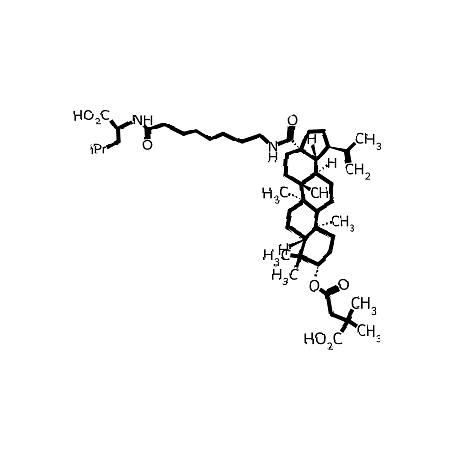 C=C(C)[C@@H]1CC[C@]2(C(=O)NCCCCCCCC(=O)NC(CC(C)C)C(=O)O)CC[C@]3(C)[C@H](CCC4[C@@]5(C)CC[C@H](OC(=O)CC(C)(C)C(=O)O)C(C)(C)[C@@H]5CC[C@]43C)[C@@H]12